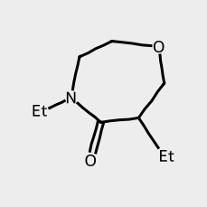 CCC1COCCN(CC)C1=O